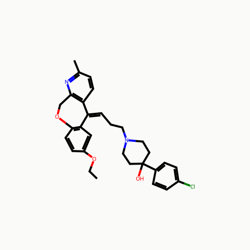 CCOc1ccc2c(c1)C(=CCCN1CCC(O)(c3ccc(Cl)cc3)CC1)c1ccc(C)nc1CO2